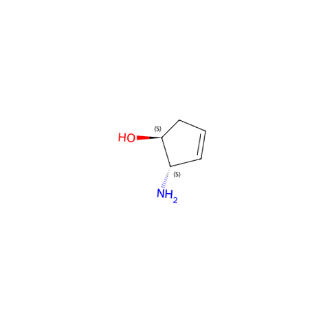 N[C@H]1C=CC[C@@H]1O